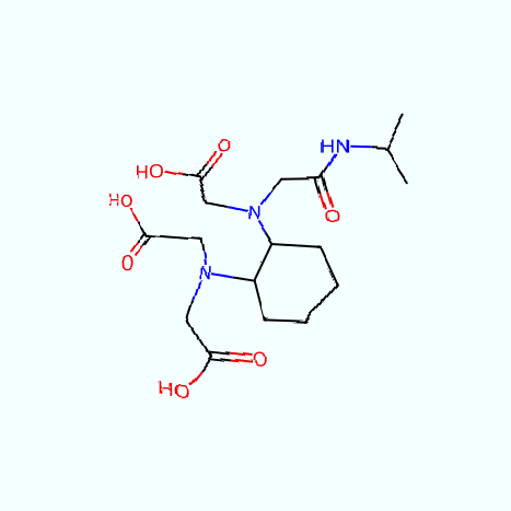 CC(C)NC(=O)CN(CC(=O)O)C1CCCCC1N(CC(=O)O)CC(=O)O